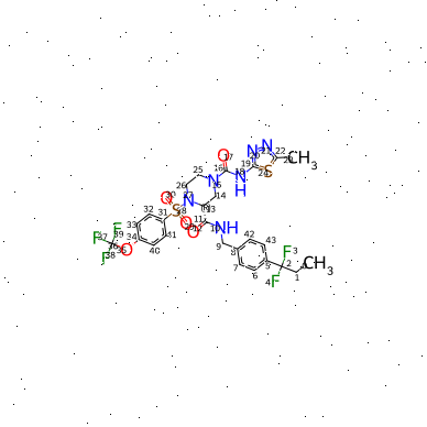 CCC(F)(F)c1ccc(CNC(=O)[C@H]2CN(C(=O)Nc3nnc(C)s3)CCN2S(=O)(=O)c2ccc(OC(F)(F)F)cc2)cc1